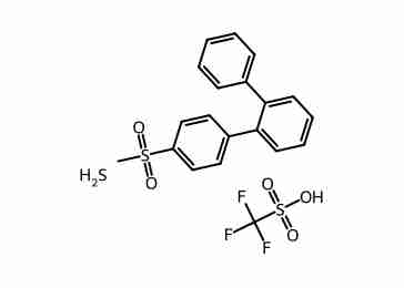 CS(=O)(=O)c1ccc(-c2ccccc2-c2ccccc2)cc1.O=S(=O)(O)C(F)(F)F.S